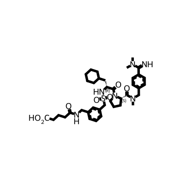 CN(C)C(=N)c1ccc(CN(C)C(=O)[C@@H]2CCCN2C(=O)[C@@H](CC2CCCCC2)NS(=O)(=O)Cc2cccc(CNC(=O)CCCC(=O)O)c2)cc1